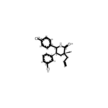 C=CC[C@]1(C)C[C@@H](c2cccc(Cl)c2)C(c2ccc(Cl)cc2)OC1=O